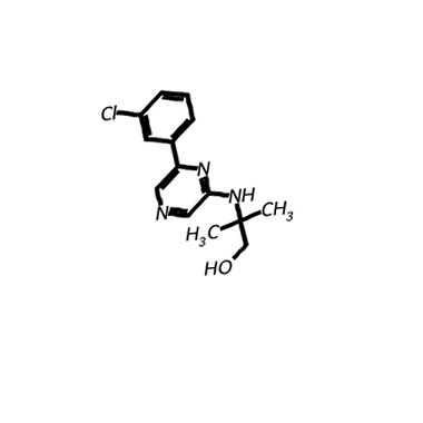 CC(C)(CO)Nc1cncc(-c2cccc(Cl)c2)n1